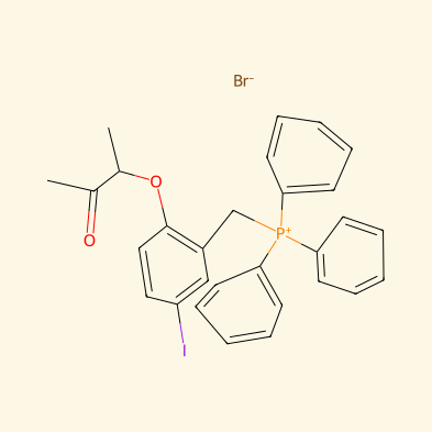 CC(=O)C(C)Oc1ccc(I)cc1C[P+](c1ccccc1)(c1ccccc1)c1ccccc1.[Br-]